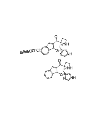 O=C(C1=Cc2ccccc2[CH]1[Zr+3])[C@@]1(Cc2c[nH]cn2)CCN1.O=C(C1=Cc2ccccc2[CH]1[Zr+3])[C@@]1(Cc2c[nH]cn2)CCN1.[Br-].[Br-].[Br-].[Cl-].[Cl-].[Cl-]